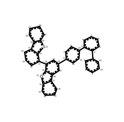 c1ccc(-c2ccccc2-c2ccc(-c3cc(-c4cccc5c4sc4ccccc45)c4oc5ccccc5c4c3)cc2)cc1